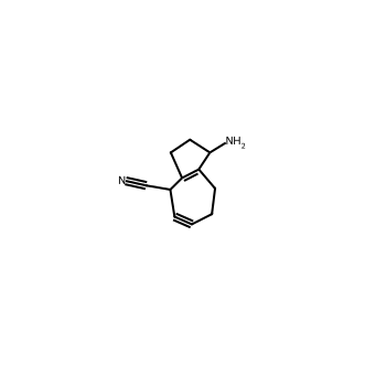 N#CC1C#CCCC2=C1CCC2N